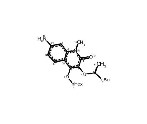 CCCCCCOc1c(OC(C)CCCC)c(=O)n(C)c2cc(N)ccc12